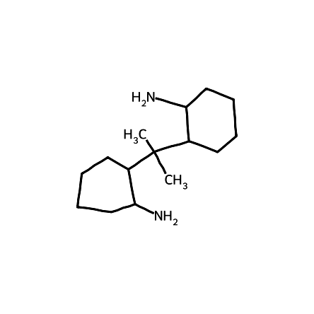 CC(C)(C1CCCCC1N)C1CCCCC1N